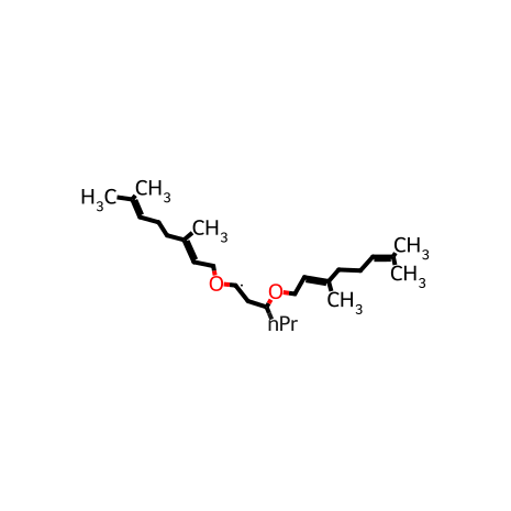 CCCC(C[CH]OC/C=C(\C)CCC=C(C)C)OC/C=C(\C)CCC=C(C)C